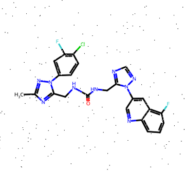 Cc1nc(CNC(=O)NCc2ncnn2-c2cnc3cccc(F)c3c2)n(-c2ccc(Cl)c(F)c2)n1